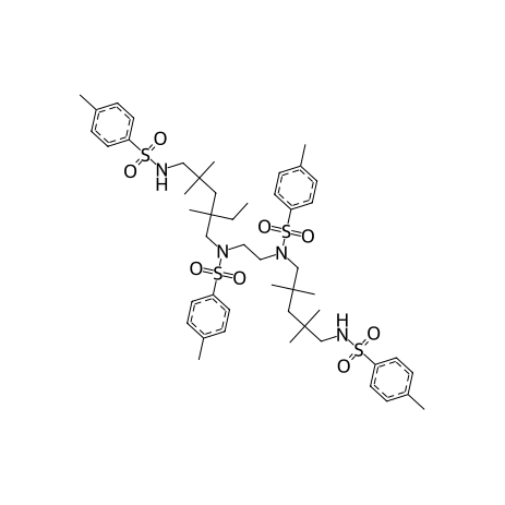 CCC(C)(CN(CCN(CC(C)(C)CC(C)(C)CNS(=O)(=O)c1ccc(C)cc1)S(=O)(=O)c1ccc(C)cc1)S(=O)(=O)c1ccc(C)cc1)CC(C)(C)CNS(=O)(=O)c1ccc(C)cc1